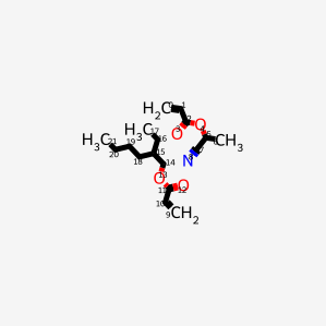 C=CC(=O)OC(C)C#N.C=CC(=O)OCC(CC)CCCC